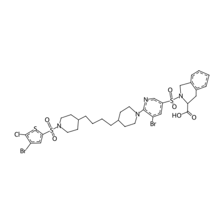 O=C(O)C1Cc2ccccc2CN1S(=O)(=O)c1cnc(N2CCC(CCCCC3CCN(S(=O)(=O)c4cc(Br)c(Cl)s4)CC3)CC2)c(Br)c1